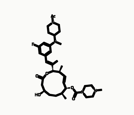 CC(=O)N1CCC(N(C)c2cc(F)cc(/C=C(\C)[C@H]3OC(=O)C[C@H](O)CC[C@H](C)[C@@H](OC(=O)N4CCN(C)CC4)/C=C/[C@@H]3C)c2)CC1